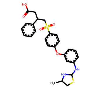 CC1CSC(Nc2cccc(Oc3ccc(S(=O)(=O)CC(CC(=O)O)c4ccccc4)cc3)c2)N1